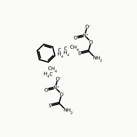 C.C.C.C.C.NC(=S)O[N+](=O)[O-].NC(=S)O[N+](=O)[O-].c1ccccc1